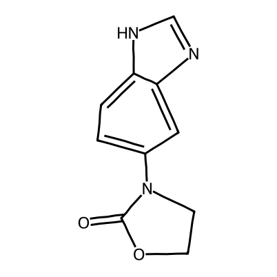 O=C1OCCN1c1ccc2[nH]cnc2c1